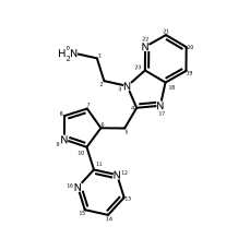 NCCn1c(CC2C=CN=C2c2ncccn2)nc2cccnc21